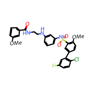 COc1cccc(C(=O)NCCNc2cccc(NS(=O)(=O)c3cc(-c4cc(F)ccc4Cl)ccc3OC)c2)c1